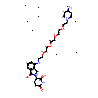 NC1CCN(CCOCCOCCOCCOCCNc2cccc3c2CN(C2CCC(=O)NC2=O)C3=O)CC1